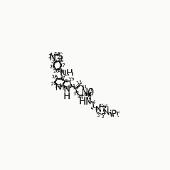 CC(C)N1CCN(CCNC(=O)N2CC=C(C3Cc4c(Nc5ccc6ncsc6c5)ccnc4N3)CC2)CC1